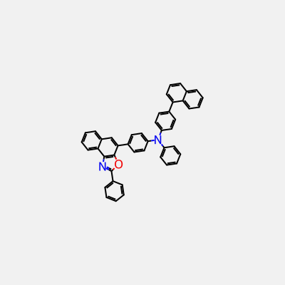 c1ccc(-c2nc3c(o2)c(-c2ccc(N(c4ccccc4)c4ccc(-c5cccc6ccccc56)cc4)cc2)cc2ccccc23)cc1